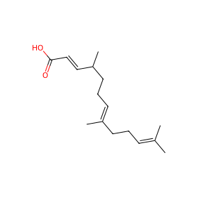 CC(C)=CCCC(C)=CCCC(C)C=CC(=O)O